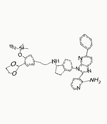 CC(C)(C)[Si](C)(C)Oc1cc(CCNC2CCc3cc(-n4c(-c5cccnc5N)nc5ccc(-c6ccccc6)nc54)ccc32)ccc1C1OCCO1